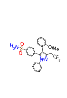 COc1ccccc1-c1c(CC(F)(F)F)nn(-c2ccccc2)c1-c1ccc(S(N)(=O)=O)cc1